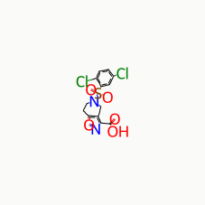 O=C(O)c1noc2c1CN(S(=O)(=O)c1cc(Cl)ccc1Cl)CC2